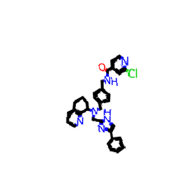 O=C(NCc1ccc(CN(Cc2nc(-c3ccccc3)c[nH]2)C2CCCc3cccnc32)cc1)c1ccnc(Cl)c1